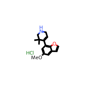 COc1cc(C2=CCNCC2(C)C)c2occc2c1.Cl